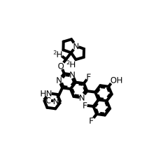 [2H]C([2H])(Oc1nc(N2CC3CCC2CN3)c2cnc(-c3cc(O)cc4ccc(F)c(F)c34)c(F)c2n1)C12CCCN1CCC2